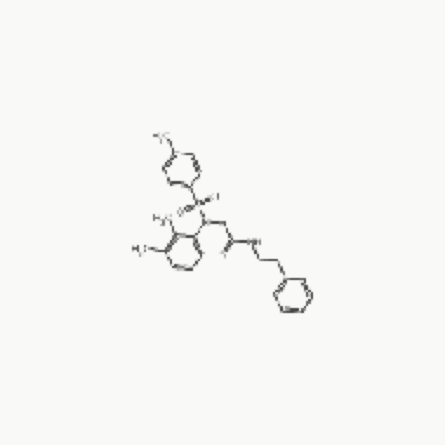 Cc1ccc(S(=O)(=O)N(CC(=O)NCCc2ccccc2)c2cccc(C)c2C)cc1